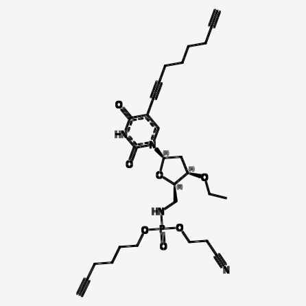 C#CCCCCC#Cc1cn([C@H]2C[C@@H](OCC)[C@@H](CNP(=O)(OCCC#N)OCCCCC#C)O2)c(=O)[nH]c1=O